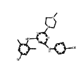 Cc1cc(Br)cc(C)c1Nc1nc(Nc2ccc(C#N)cc2)nc(N2CCN(C)CC2)n1